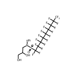 CCCN(CC(O)CO)S(=O)(=O)C(F)(F)C(F)(F)C(F)(F)C(F)(F)C(F)(F)C(F)(F)C(F)(F)C(F)(F)C(F)(F)F